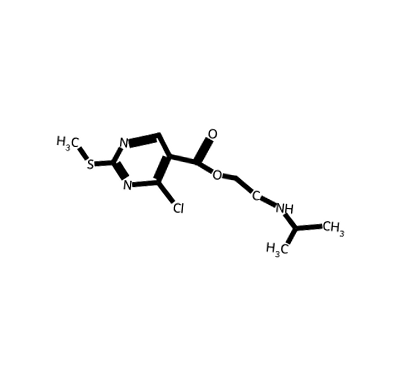 CSc1ncc(C(=O)OCCNC(C)C)c(Cl)n1